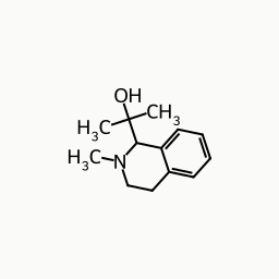 CN1CCc2ccccc2C1C(C)(C)O